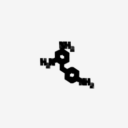 Nc1ccc(Cc2ccc(N)cc2N)cc1